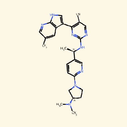 C[C@@H](Nc1ncc(C#N)c(-c2c[nH]c3ncc(C(F)(F)F)cc23)n1)c1ccc(N2CC[C@@H](N(C)C)C2)nc1